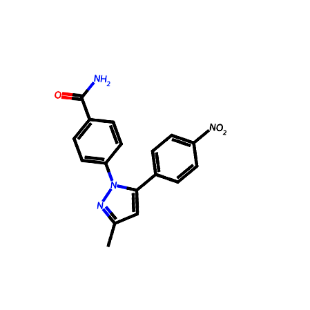 Cc1cc(-c2ccc([N+](=O)[O-])cc2)n(-c2ccc(C(N)=O)cc2)n1